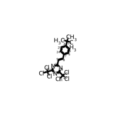 CC(C)(C)c1ccc(C=Cc2nc(C(Cl)(Cl)Cl)nc(C(Cl)(Cl)Cl)n2)cc1